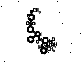 COc1ccc(S(=O)(=O)N2CCCC(n3cnc(C(=O)N4CCN(C(=O)O)C(C(C)(C)C)[C@H]4Cc4ccccc4)c3-c3ccccc3)C2)cn1